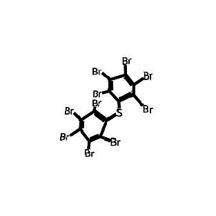 Brc1c(Br)c(Br)c(Sc2c(Br)c(Br)c(Br)c(Br)c2Br)c(Br)c1Br